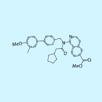 COC(=O)c1ccc2c(N(Cc3ccc(-c4ccc(OC)c(C)c4)cc3)C(=O)CC3CCCC3)nccc2c1